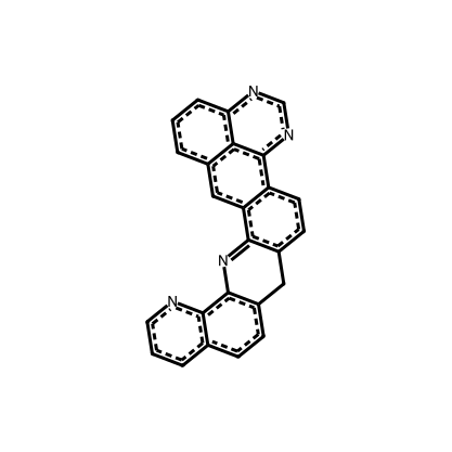 c1cnc2c3c(ccc2c1)Cc1ccc2c(cc4cccc5ncnc2c45)c1=N3